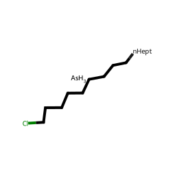 CCCCCCCCCCCCCCCCCl.[AsH3]